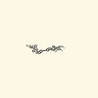 COC(=O)N[C@H](C(=O)N1CCC[C@H]1c1ncc(-c2ccc(C#Cc3ccc4c(ccc5nc([C@@H]6CCCN6C(=O)[C@@H](NC(=O)OC)C6CCOCC6)[nH]c54)c3)cc2)[nH]1)C(C)C